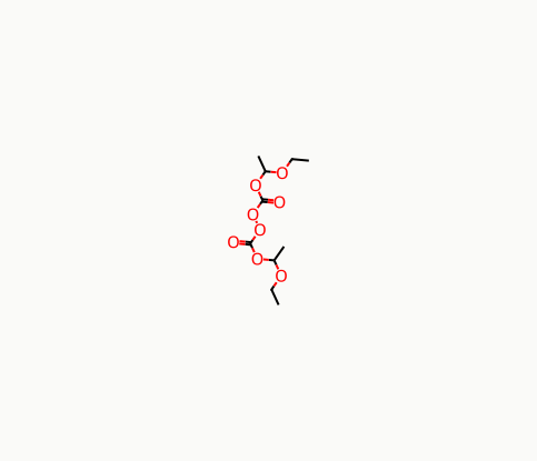 CCOC(C)OC(=O)OOC(=O)OC(C)OCC